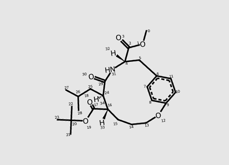 COC(=O)[C@@H]1Cc2ccc(cc2)OCCC[C@H](C(=O)OC(C)(C)C)[C@@H](CC(C)C)C(=O)N1